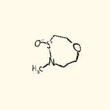 CN1CCOCC[S+]1[O-]